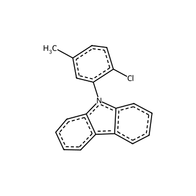 Cc1ccc(Cl)c(-n2c3ccccc3c3ccccc32)c1